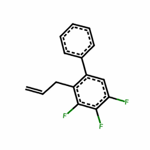 C=CCc1c(-c2ccccc2)cc(F)c(F)c1F